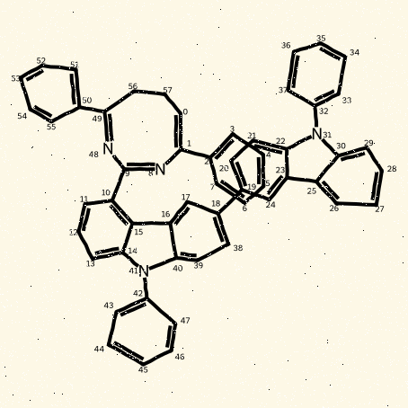 C1=C(c2ccccc2)/N=C(c2cccc3c2c2cc(-c4ccc5c(c4)c4ccccc4n5-c4ccccc4)ccc2n3-c2ccccc2)\N=C(\c2ccccc2)CC\1